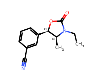 CCN1C(=O)O[C@H](c2cccc(C#N)c2)[C@@H]1C